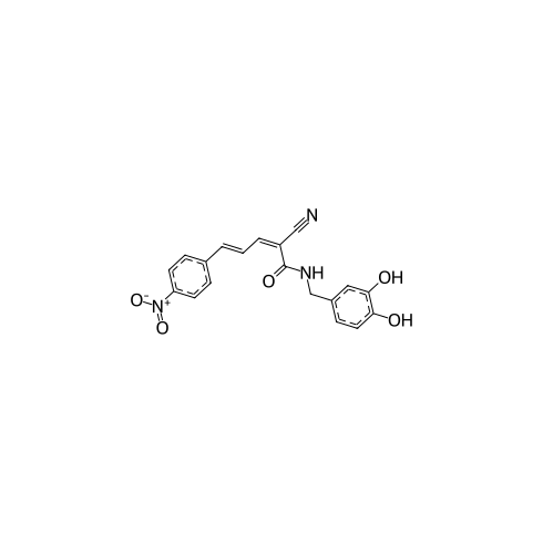 N#CC(=CC=Cc1ccc([N+](=O)[O-])cc1)C(=O)NCc1ccc(O)c(O)c1